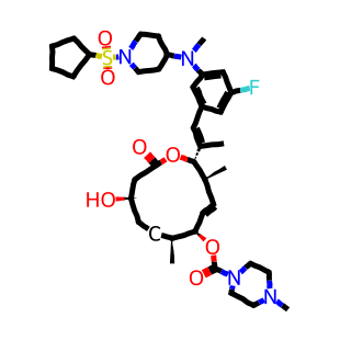 C/C(=C\c1cc(F)cc(N(C)C2CCN(S(=O)(=O)C3CCCC3)CC2)c1)[C@H]1OC(=O)C[C@H](O)CC[C@H](C)[C@H](OC(=O)N2CCN(C)CC2)/C=C/[C@@H]1C